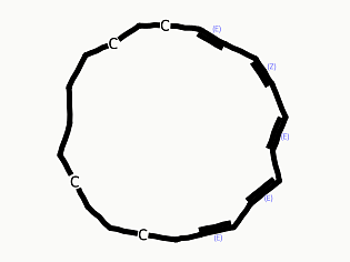 [C]1=C/C=C\C=C\C=C\C=C\CCCCCCCCCCCC/1